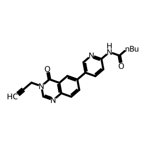 C#CCn1cnc2ccc(-c3ccc(NC(=O)CCCC)nc3)cc2c1=O